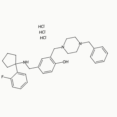 Cl.Cl.Cl.Oc1ccc(CNC2(c3ccccc3F)CCCC2)cc1CN1CCN(Cc2ccccc2)CC1